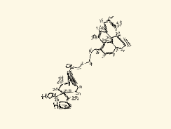 O=C(CCCCc1ccc2ccc3cccc4ccc1c2c34)N1CCC(CO)(CO)CC1